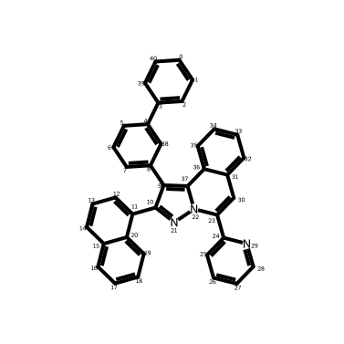 c1ccc(-c2cccc(-c3c(-c4cccc5ccccc45)nn4c(-c5ccccn5)cc5ccccc5c34)c2)cc1